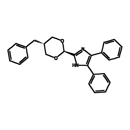 c1ccc(C[C@H]2CO[C@H](c3nc(-c4ccccc4)c(-c4ccccc4)[nH]3)OC2)cc1